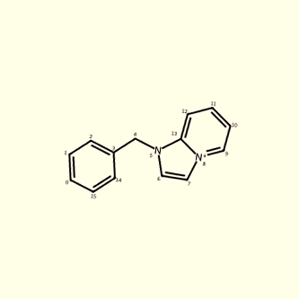 c1ccc(Cn2cc[n+]3ccccc23)cc1